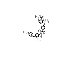 Cc1c(Oc2ccc(C(=O)C(=O)Nc3ccc(CN4CCN(C)CC4)c(C(F)(F)F)c3)cc2)ccnc1C(N)=O